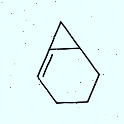 C1=C2CC2CCC1